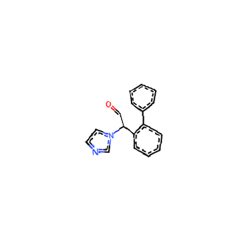 O=CC(c1ccccc1-c1ccccc1)n1ccnc1